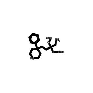 CCCCCCCCCCOC(CN)(CCC1(c2ccccc2)CCNCC1)OCCCCCCCCCC